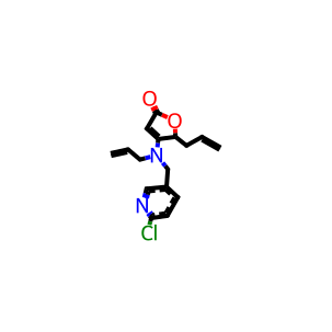 C=CCC1OC(=O)C=C1N(CC=C)Cc1ccc(Cl)nc1